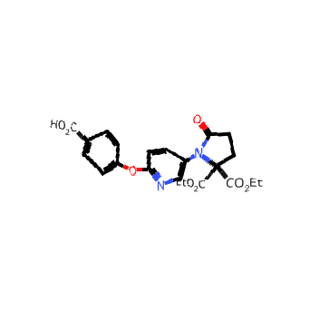 CCOC(=O)C1(C(=O)OCC)CCC(=O)N1c1ccc(Oc2ccc(C(=O)O)cc2)nc1